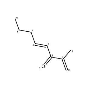 C=C(C)C(=O)C=CCCC